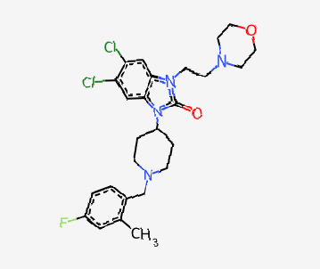 Cc1cc(F)ccc1CN1CCC(n2c(=O)n(CCN3CCOCC3)c3cc(Cl)c(Cl)cc32)CC1